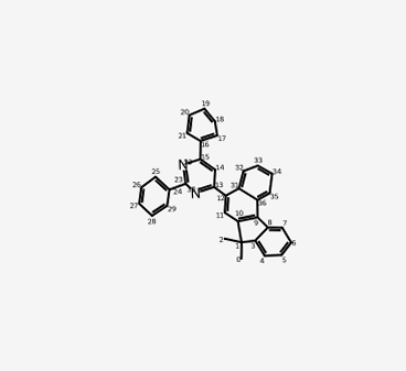 CC1(C)c2ccccc2-c2c1cc(-c1cc(-c3ccccc3)nc(-c3ccccc3)n1)c1ccccc21